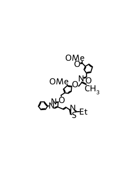 CCc1nc(/C=C/c2cn(-c3ccccc3)nc2OCc2ccc(OCc3nc(-c4cccc(C(=O)OC)c4)oc3C)c(OC)c2)cs1